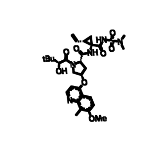 C=C[C@@H]1C[C@]1(NC(=O)[C@@H]1C[C@@H](Oc2ccnc3c(C)c(OC)ccc23)CN1C(=O)[C@@H](O)C(C)(C)C)C(=O)NS(=O)(=O)N(C)C